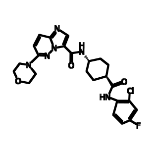 O=C(N[C@H]1CC[C@H](C(=O)Nc2ccc(F)cc2Cl)CC1)c1cnc2ccc(N3CCOCC3)nn12